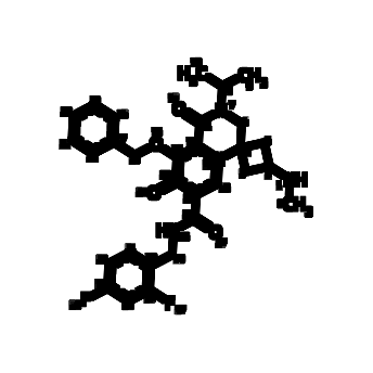 CNC1CC2(C1)CN(C(C)C)C(=O)c1c(OCc3ccccc3)c(=O)c(C(=O)NCc3ccc(F)cc3F)cn12